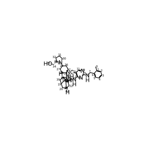 Cc1ccccc1CNc1ncc(C#N)c(NC[C@]23CC4C[C@H](C2)[C@@H](NC2CCC(N5CCC[C@H]5CO)CC2)[C@@H](C4)C3)n1